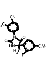 COc1ccc(C2(C)NC(=O)N(c3ccc(C#N)c(C(F)(F)F)c3)C2=O)c(F)c1